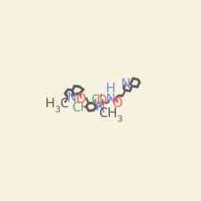 Cc1ccc2cccc(OCc3c(Cl)ccc(N(C)C(=O)CNC(=O)C=Cc4cnc5ccccc5c4)c3Cl)c2n1